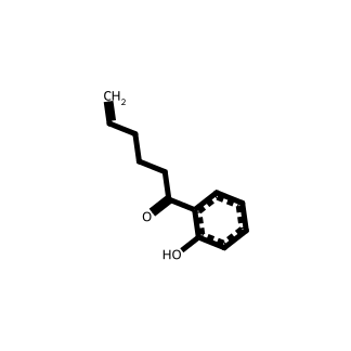 C=CCCCC(=O)c1ccccc1O